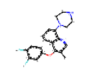 Cc1cnc2c(N3CCNCC3)cccc2c1Oc1ccc(F)c(F)c1